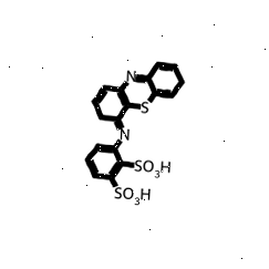 O=S(=O)(O)c1cccc(N=C2CC=CC3=C2SC2=CCC=CC2=N3)c1S(=O)(=O)O